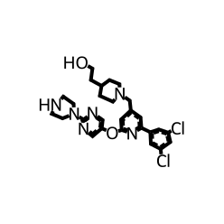 OCCC1CCN(Cc2cc(Oc3cnc(N4CCNCC4)nc3)nc(-c3cc(Cl)cc(Cl)c3)c2)CC1